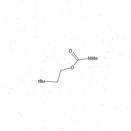 CNC(=O)OCCC(C)(C)C